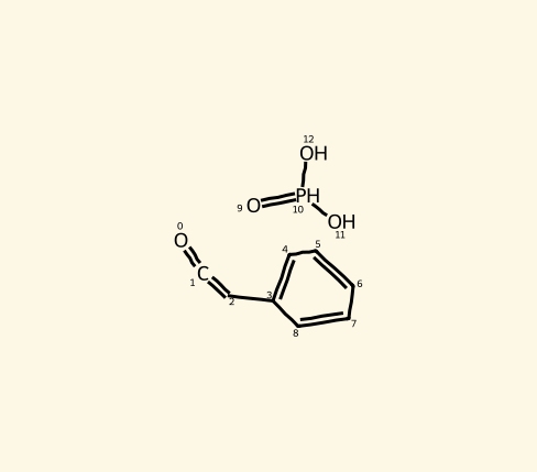 O=C=Cc1ccccc1.O=[PH](O)O